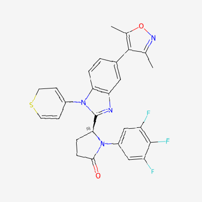 Cc1noc(C)c1-c1ccc2c(c1)nc([C@@H]1CCC(=O)N1c1cc(F)c(F)c(F)c1)n2C1=CCSC=C1